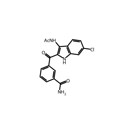 CC(=O)Nc1c(C(=O)c2cccc(C(N)=O)c2)[nH]c2cc(Cl)ccc12